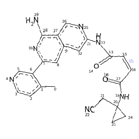 Cc1ccncc1-c1cc2cc(NC(=O)/C=C\C(=O)NC3(CC#N)CC3)ncc2c(N)n1